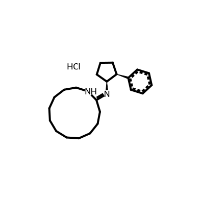 Cl.c1ccc([C@@H]2CCC[C@@H]2/N=C2/CCCCCCCCCCCN2)cc1